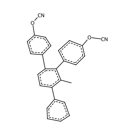 Cc1c(-c2ccccc2)ccc(-c2ccc(OC#N)cc2)c1-c1ccc(OC#N)cc1